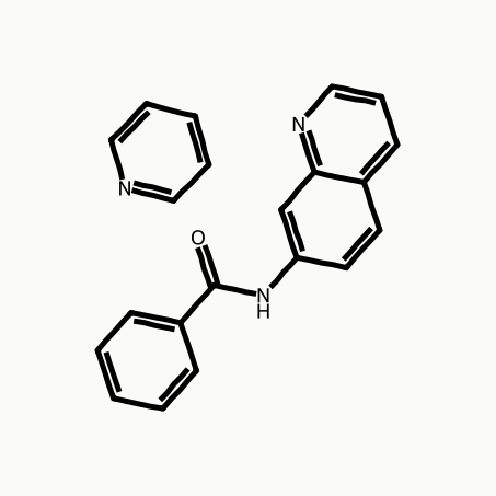 O=C(Nc1ccc2cccnc2c1)c1ccccc1.c1ccncc1